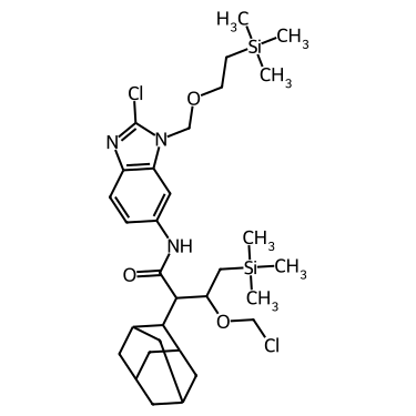 C[Si](C)(C)CCOCn1c(Cl)nc2ccc(NC(=O)C(C(C[Si](C)(C)C)OCCl)C3C4CC5CC(C4)CC3C5)cc21